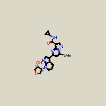 CNc1cc(-c2cnc3n([C@@H]4COC[C@H]4O)cccc2-3)nc2c(C(=O)NC3CC3)cnn12